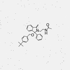 C=C1c2ccccc2C(OCc2ccc(C(C)(C)C)cc2)(c2ccccc2)N1CCNC(C)=O